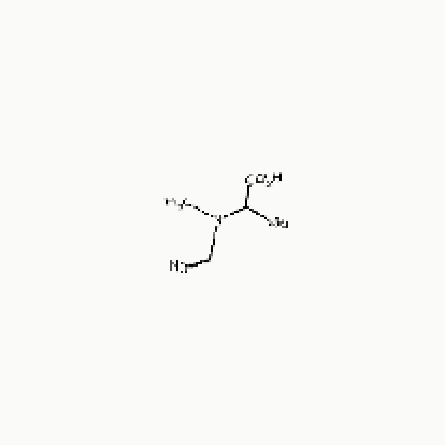 CCC(C)C(C(=O)O)N(C)CO